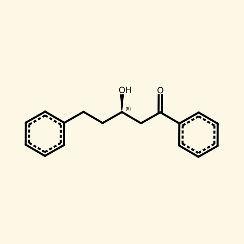 O=C(C[C@H](O)CCc1ccccc1)c1ccccc1